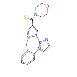 S=C(c1cc2n(c1)Cc1ccccc1-n1ccnc1-2)N1CCOCC1